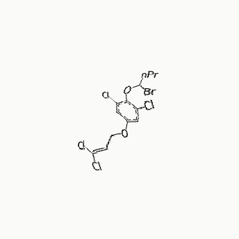 CCCC(Br)Oc1c(Cl)cc(OCC=C(Cl)Cl)cc1Cl